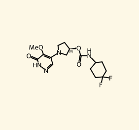 COc1c(N2CC[C@@H](OC(=O)NC3CCC(F)(F)CC3)C2)cn[nH]c1=O